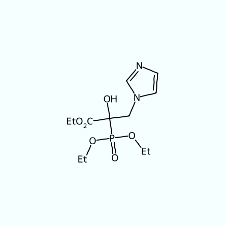 CCOC(=O)C(O)(Cn1ccnc1)P(=O)(OCC)OCC